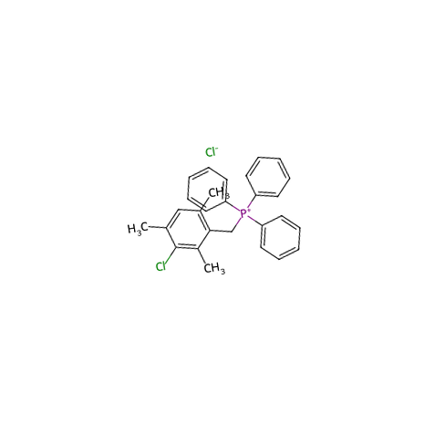 Cc1cc(C)c(C[P+](c2ccccc2)(c2ccccc2)c2ccccc2)c(C)c1Cl.[Cl-]